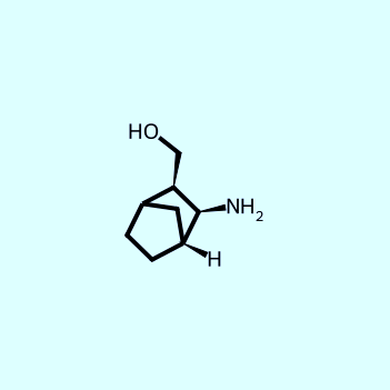 N[C@H]1[C@@H]2CCC(C2)[C@H]1CO